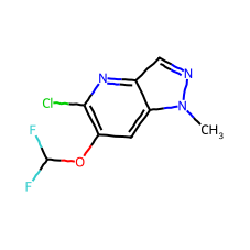 Cn1ncc2nc(Cl)c(OC(F)F)cc21